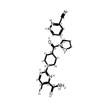 N#Cc1cc([C@@H]2CCON2C(=O)C2CCN(c3ncc(F)c(C(N)=O)n3)CC2)cnn1